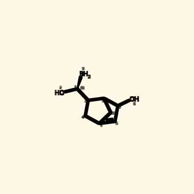 B[C@H](O)C1CC2=CC(O)C1C2